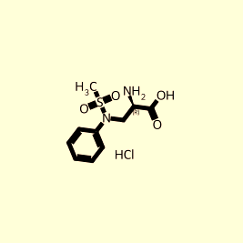 CS(=O)(=O)N(C[C@@H](N)C(=O)O)c1ccccc1.Cl